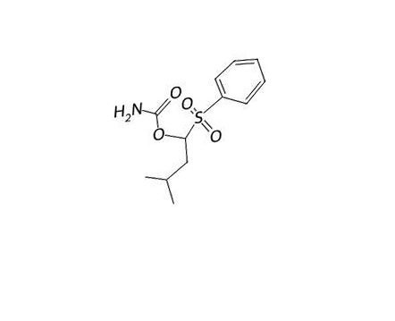 CC(C)CC(OC(N)=O)S(=O)(=O)c1ccccc1